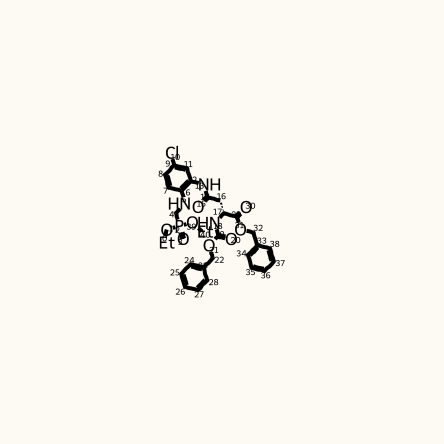 CCOP(=O)(CNc1ccc(Cl)cc1NC(=O)C[C@@H](NC(=O)OCc1ccccc1)C(=O)OCc1ccccc1)OCC